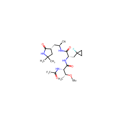 C[C@@H](OC(C)(C)C)[C@H](NC(=O)C(F)(F)F)C(=O)N[C@@H](CC1(F)CC1)C(=O)N[C@H](C#N)C[C@@H]1CC(C)(C)NC1=O